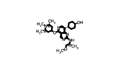 COC[C@H](C)Nc1ncc2c(OC3C[C@@H](C)N(C)[C@H](C)C3)ncc([C@H]3CC[C@H](O)CC3)c2n1